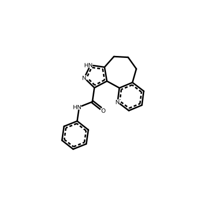 O=C(Nc1ccccc1)c1n[nH]c2c1-c1ncccc1CCC2